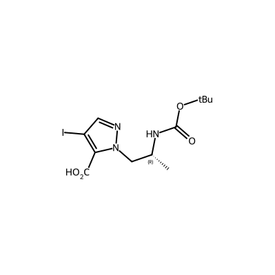 C[C@H](Cn1ncc(I)c1C(=O)O)NC(=O)OC(C)(C)C